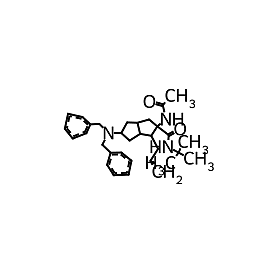 C=CCC1C2CC(N(Cc3ccccc3)Cc3ccccc3)CC2CC1(NC(C)=O)C(=O)NC(C)(C)C